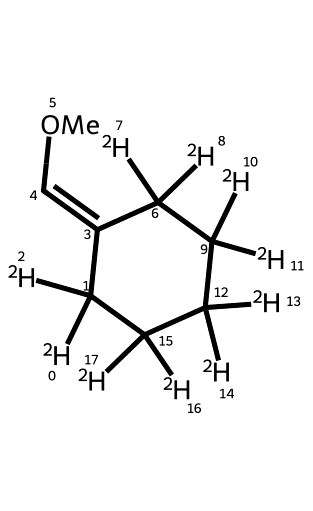 [2H]C1([2H])C(=COC)C([2H])([2H])C([2H])([2H])C([2H])([2H])C1([2H])[2H]